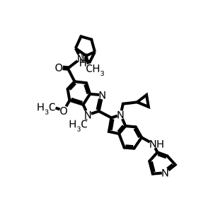 COc1cc(C(=O)N2CC3CCC2[C@@H]3C)cc2nc(-c3cc4ccc(Nc5ccncc5)cc4n3CC3CC3)n(C)c12